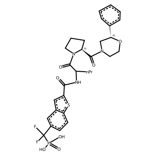 CCCC(NC(=O)c1cc2cc(C(F)(F)P(=O)(O)O)ccc2s1)C(=O)N1CCC[C@H]1C(=O)N1CCO[C@@H](c2ccccc2)C1